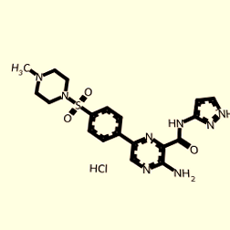 CN1CCN(S(=O)(=O)c2ccc(-c3cnc(N)c(C(=O)Nc4cc[nH]n4)n3)cc2)CC1.Cl